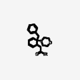 CCC(=O)CC1C=CC=CC1(Cc1ccccc1)N1CCOCC1